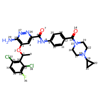 CC(Oc1cc(C(=O)Nc2ccc(C(=O)N3CCN(C4CC4)CC3)cc2)nnc1N)c1c(Cl)ccc(F)c1Cl